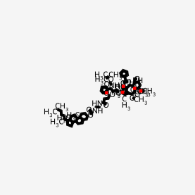 CO[C@H]1C(=O)[C@]2(C)[C@@H](OC)C[C@H]3OC[C@@]3(OC(C)=O)[C@H]2[C@H](OC(=O)c2ccccc2)[C@]2(O)C[C@H](OC(=O)[C@H](OC(=O)CCC(=O)NCCNC(=O)O[C@H]3CC[C@@]4(C)C(=CCC5C6CCC(C(C)CCCC(C)C)[C@@]6(C)CCC54)C3)[C@@H](NC(=O)OC(C)(C)C)c3ccccc3)C(C)=C1C2(C)C